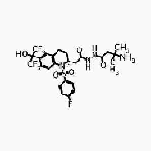 CC(C)(N)CC(=O)NNC(=O)C[C@@H]1CCc2cc(C(O)(C(F)(F)F)C(F)(F)F)ccc2N1S(=O)(=O)c1ccc(F)cc1